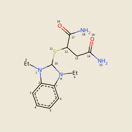 CCN1c2ccccc2N(CC)C1SC(CC(N)=O)C(N)=O